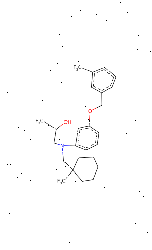 OC(CN(CC1(C(F)(F)F)CCCCC1)c1cccc(OCc2cccc(C(F)(F)F)c2)c1)C(F)(F)F